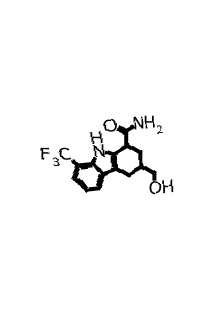 NC(=O)C1CC(CO)Cc2c1[nH]c1c(C(F)(F)F)cccc21